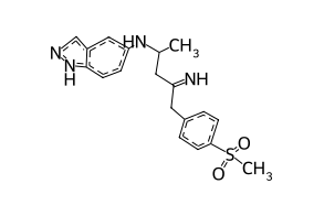 CC(CC(=N)Cc1ccc(S(C)(=O)=O)cc1)Nc1ccc2[nH]ncc2c1